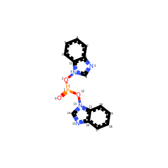 O=[PH](On1cnc2ccccc21)On1cnc2ccccc21